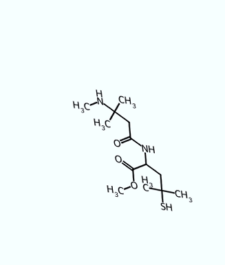 CNC(C)(C)CC(=O)NC(CC(C)(C)S)C(=O)OC